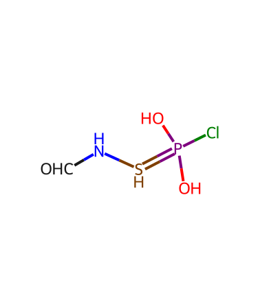 O=CN[SH]=P(O)(O)Cl